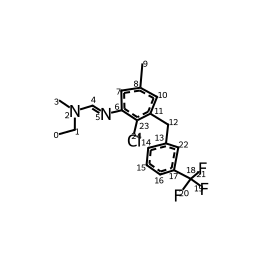 CCN(C)C=Nc1cc(C)cc(Cc2cccc(C(F)(F)F)c2)c1Cl